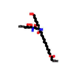 CCCCCCCCCCCC(=O)OCCCCCCCCCCCCCC(=O)N[C@@H](CCCCCCCO)CC(O)NC(=O)C[C@H](O)CCCCCCCCCCC